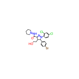 O=C(NN1CCCCC1)C1=NN(c2ccc(Cl)cc2Cl)C(c2ccc(Br)cc2)C1CCO